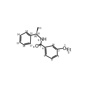 CCOc1cccc(C(=O)N[C@H](C)c2ccccc2)c1